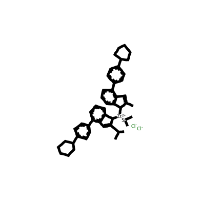 CC1=Cc2c(-c3ccc(C4CCCCC4)cc3)cccc2[CH]1[Zr+2]([CH]1C(C(C)C)=Cc2c(-c3ccc(C4CCCCC4)cc3)cccc21)=[Si](C)C.[Cl-].[Cl-]